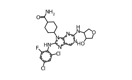 NC(=O)C1CCC(n2c(Nc3c(F)cc(Cl)cc3Cl)nc3cnc(NC4COCC4O)nc32)CC1